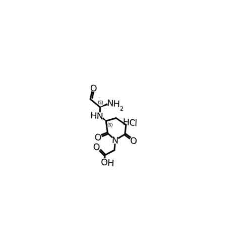 Cl.N[C@H](C=O)N[C@H]1CCC(=O)N(CC(=O)O)C1=O